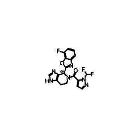 O=C(c1ccnn1C(F)F)N1CCc2[nH]cnc2[C@H]1c1nc2cccc(F)c2o1